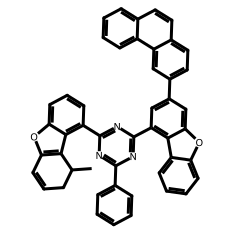 CC1CC=Cc2oc3cccc(-c4nc(-c5ccccc5)nc(-c5cc(-c6ccc7ccc8ccccc8c7c6)cc6oc7ccccc7c56)n4)c3c21